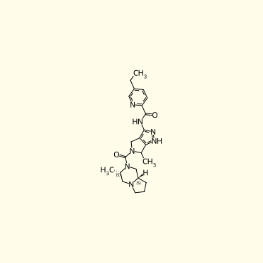 CCc1ccc(C(=O)Nc2n[nH]c3c2CN(C(=O)N2C[C@@H]4CCCN4C[C@@H]2C)C3C)nc1